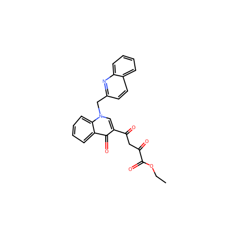 CCOC(=O)C(=O)CC(=O)c1cn(Cc2ccc3ccccc3n2)c2ccccc2c1=O